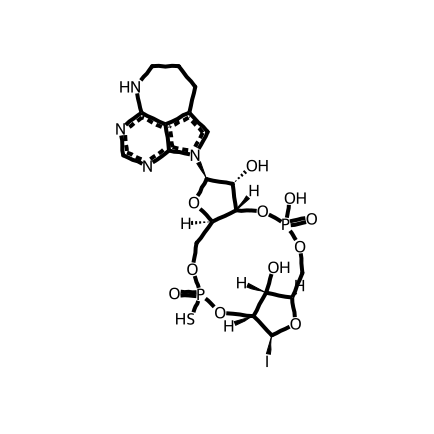 O=P1(O)OC[C@H]2O[C@@H](I)[C@H](OP(=O)(S)OC[C@H]3O[C@@H](n4cc5c6c(ncnc64)NCCC5)[C@H](O)[C@@H]3O1)[C@@H]2O